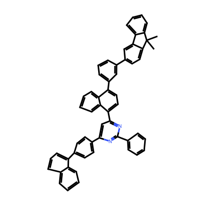 CC1(C)c2ccccc2-c2cc(-c3cccc(-c4ccc(-c5cc(-c6ccc(-c7cccc8ccccc78)cc6)nc(-c6ccccc6)n5)c5ccccc45)c3)ccc21